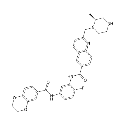 C[C@H]1CNCCN1Cc1ccc2cc(C(=O)Nc3cc(NC(=O)c4ccc5c(c4)OCCO5)ccc3F)ccc2n1